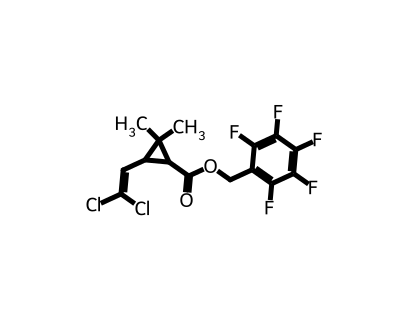 CC1(C)C(C=C(Cl)Cl)C1C(=O)OCc1c(F)c(F)c(F)c(F)c1F